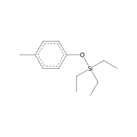 CC[Si](CC)(CC)Oc1ccc(C)cc1